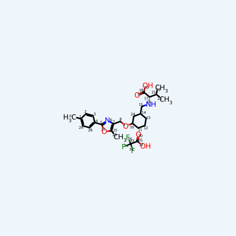 Cc1ccc(-c2nc(COC3CCCC(CN[C@H](C(=O)O)C(C)C)C3)c(C)o2)cc1.O=C(O)C(F)(F)F